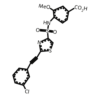 COc1cc(C(=O)O)ccc1NS(=O)(=O)c1csc(C#Cc2cccc(Cl)c2)n1